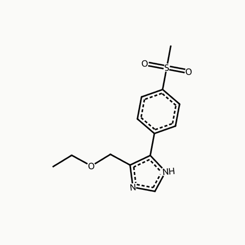 CCOCc1nc[nH]c1-c1ccc(S(C)(=O)=O)cc1